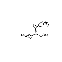 COC(CO)OC=O